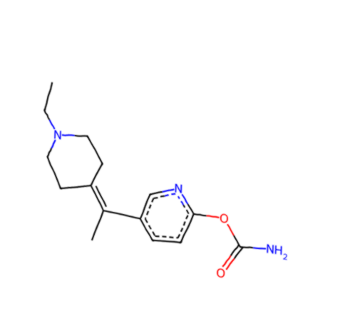 CCN1CCC(=C(C)c2ccc(OC(N)=O)nc2)CC1